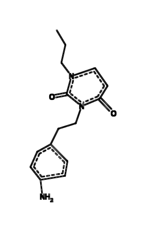 CCCn1ccc(=O)n(CCc2ccc(N)cc2)c1=O